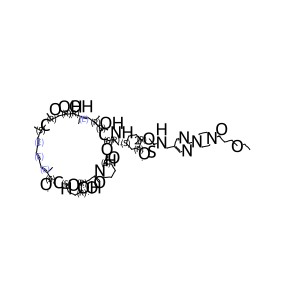 CCOCCC(=O)N1CCN(c2ncc(CNC(=S)O[C@@H]3CC[C@@H](C[C@@H](N)[C@@H]4C[C@@H](O)[C@H](C)/C=C(\C)[C@@H](O)[C@@H](O)C(=O)[C@H](C)C[C@H](C)/C=C/C=C/C=C(\C)[C@@H](OC)C[C@@H]5CC[C@@H](C)[C@@](O)(O5)C(=O)C(=O)N5CCCC[C@H]5C(=O)O4)C[C@H]3OC)cn2)CC1